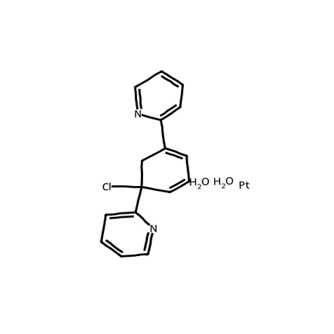 ClC1(c2ccccn2)C=CC=C(c2ccccn2)C1.O.O.[Pt]